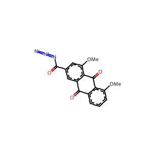 COc1cccc2c1C(=O)c1c(OC)cc(C(=O)N=[N+]=[N-])cc1C2=O